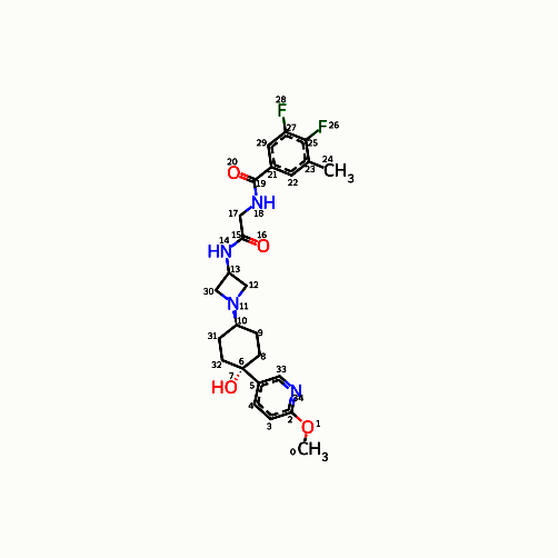 COc1ccc([C@]2(O)CC[C@H](N3CC(NC(=O)CNC(=O)c4cc(C)c(F)c(F)c4)C3)CC2)cn1